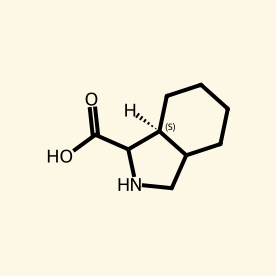 O=C(O)C1NCC2CCCC[C@@H]21